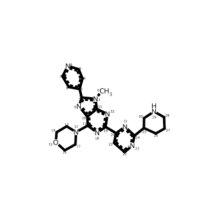 Cn1c(-c2ccncc2)nc2c(N3CCOCC3)nc(-c3ccnc(C4CCCNC4)n3)nc21